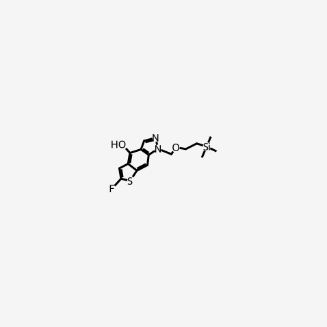 C[Si](C)(C)CCOCn1ncc2c(O)c3cc(F)sc3cc21